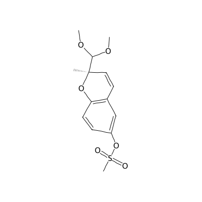 COC(OC)[C@@]1(C)C=Cc2cc(OS(C)(=O)=O)ccc2O1